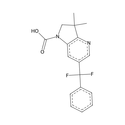 CC1(C)CN(C(=O)O)c2cc(C(F)(F)c3ccccc3)cnc21